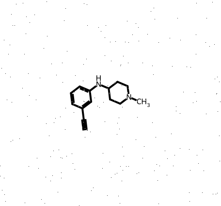 [C]#Cc1cccc(NC2CCN(C)CC2)c1